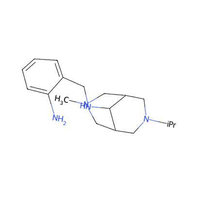 CC(C)N1CC2CN(C)CC(C1)C2NCc1ccccc1N